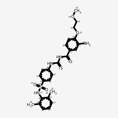 Bc1cc(C(=O)NC(=S)Nc2ccc(S(=O)(=O)Nc3c(C)cccc3C)cc2)ccc1OCCOC